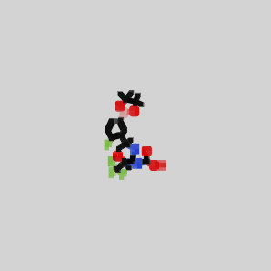 CC1(c2cc(B3OC(C)(C)C(C)(C)O3)ccc2F)CO[C@@](C)(C(F)(F)F)C(NC(=O)O)=N1